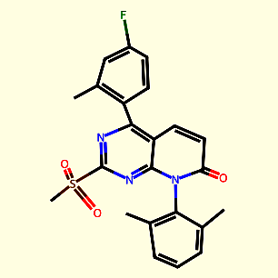 Cc1cc(F)ccc1-c1nc(S(C)(=O)=O)nc2c1ccc(=O)n2-c1c(C)cccc1C